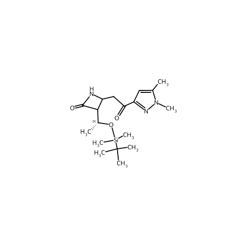 Cc1cc(C(=O)CC2NC(=O)C2[C@@H](C)O[Si](C)(C)C(C)(C)C)nn1C